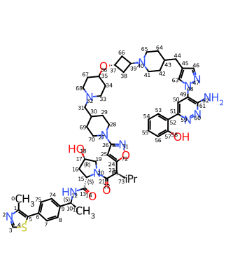 Cc1ncsc1-c1ccc([C@H](C)NC(=O)[C@@H]2C[C@@H](O)CN2C(=O)[C@@H](c2cc(N3CCC(CN4CCC(O[C@H]5C[C@H](N6CCC(Cc7cnn(-c8cc(-c9ccccc9O)nnc8N)c7)CC6)C5)CC4)CC3)no2)C(C)C)cc1